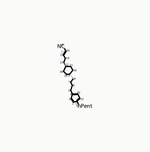 CCCCCc1ccc(CCCC[C@H]2CC[C@H](CC/C=C/C#N)CC2)cc1